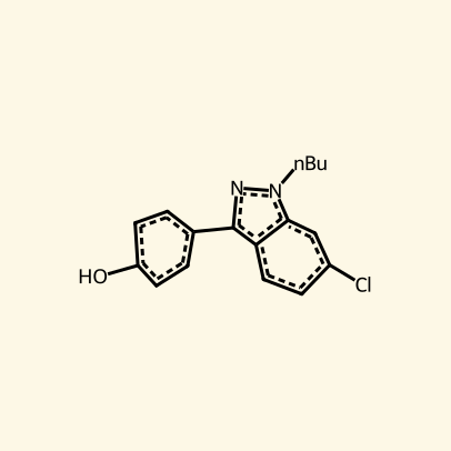 CCCCn1nc(-c2ccc(O)cc2)c2ccc(Cl)cc21